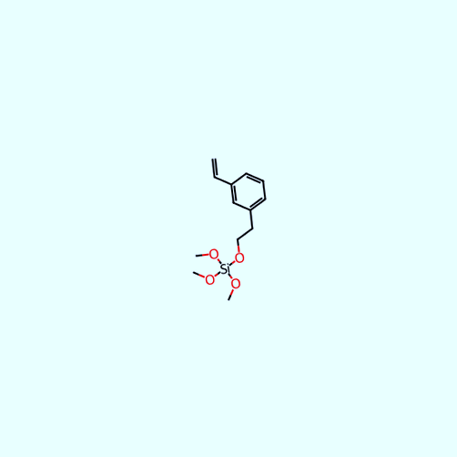 C=Cc1cccc(CCO[Si](OC)(OC)OC)c1